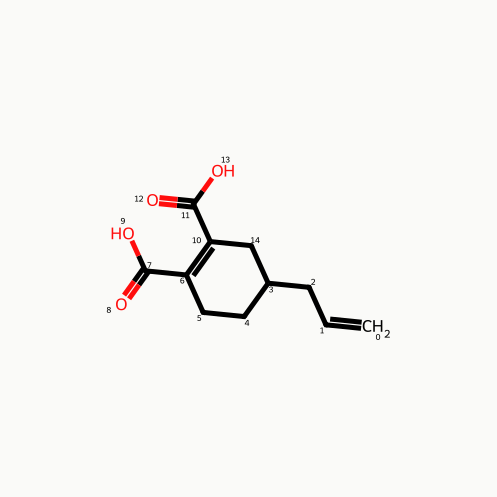 C=CCC1CCC(C(=O)O)=C(C(=O)O)C1